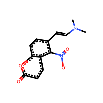 CN(C)C=Cc1ccc2oc(=O)ccc2c1[N+](=O)[O-]